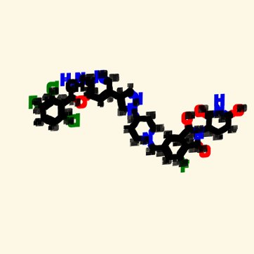 C[C@@H](Oc1cc(-c2cnn(C3CCN(Cc4cc(F)c5c(c4)C(=O)N(C4CCC(=O)NC4=O)C5=O)CC3)c2)cnc1N)c1c(Cl)ccc(F)c1Cl